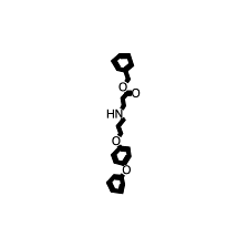 O=C(CCNCCCOc1ccc(Oc2ccccc2)cc1)OCc1ccccc1